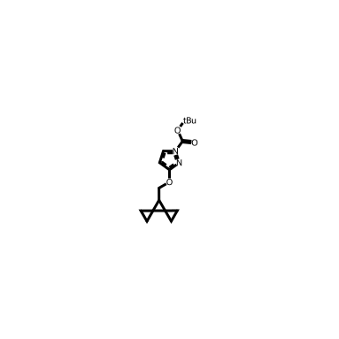 CC(C)(C)OC(=O)n1ccc(OCC2C3(CC3)C23CC3)n1